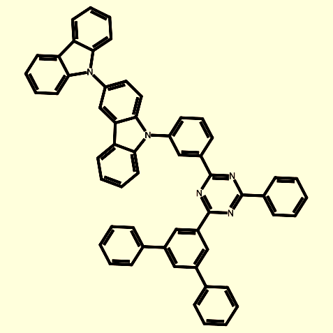 c1ccc(-c2cc(-c3ccccc3)cc(-c3nc(-c4ccccc4)nc(-c4cccc(-n5c6ccccc6c6cc(-n7c8ccccc8c8ccccc87)ccc65)c4)n3)c2)cc1